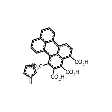 O=C(O)c1c(C(=O)O)c2c(C(=O)O)ccc3c4cccc5cccc(c(c1C(=O)O)c23)c54.c1c[nH]cn1